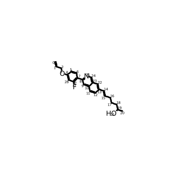 C=CCOc1ccc(-c2cc3ccc(/C=C/CCCC(C)O)cc3cn2)c(F)c1